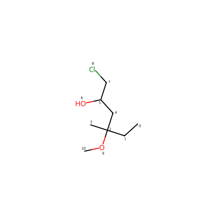 CCC(C)(CC(O)CCl)OC